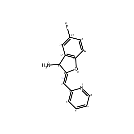 NC1/C(=C/c2ccccn2)Oc2ccc(F)cc21